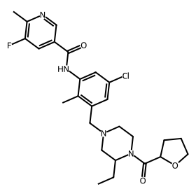 CCC1CN(Cc2cc(Cl)cc(NC(=O)c3cnc(C)c(F)c3)c2C)CCN1C(=O)C1CCCO1